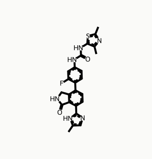 Cc1cnc(-c2ccc(-c3ccc(NC(=O)Nc4sc(C)nc4C)cc3F)c3c2C(=O)NC3)[nH]1